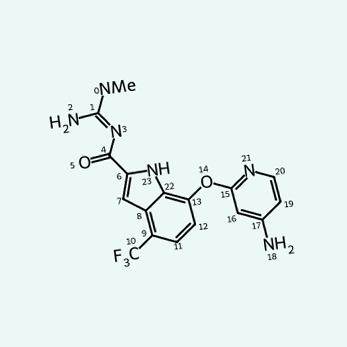 CNC(N)=NC(=O)c1cc2c(C(F)(F)F)ccc(Oc3cc(N)ccn3)c2[nH]1